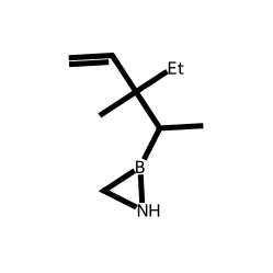 C=CC(C)(CC)C(C)B1CN1